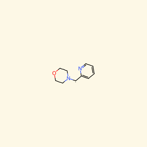 [CH](c1ccccn1)N1CCOCC1